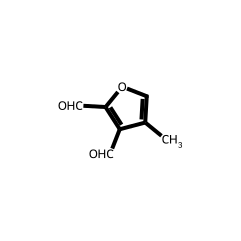 Cc1coc(C=O)c1C=O